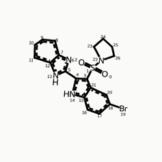 O=S(=O)(c1c(-c2nc3ccccc3[nH]2)[nH]c2ccc(Br)cc12)N1CCCC1